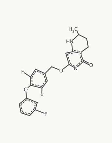 CC1CCn2c(cc(OCc3cc(F)c(Oc4cccc(F)c4)c(F)c3)nc2=O)N1